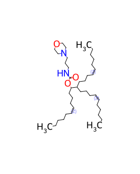 CCCCC/C=C\CCCC(CCC/C=C\CCCCC)C(CCC/C=C\CCCCC)OC(=O)NCCCN1CCOCC1